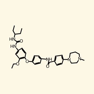 CCOc1cc(NC(=O)NC(CC)CC)ccc1Oc1ccc(NC(=O)c2ccc(N3CCCN(C)CC3)cc2)cc1